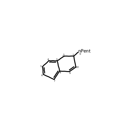 CCCCCC1[C]c2ccccc2C=C1